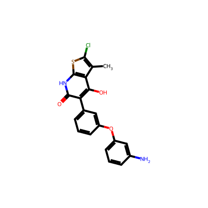 Cc1c(Cl)sc2[nH]c(=O)c(-c3cccc(Oc4cccc(N)c4)c3)c(O)c12